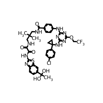 CC(C)(CNC(=O)C(=O)Nc1nc2ccc(C(C)(O)O)cc2s1)CNC(=O)c1ccc(Nc2nc(NC3(c4ccc(Cl)cc4)CC3)nc(OCC(F)(F)F)n2)cc1